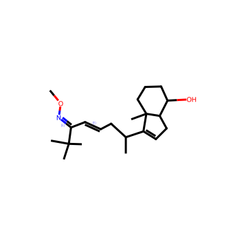 CO/N=C(\C=C\CC(C)C1=CCC2C(O)CCCC12C)C(C)(C)C